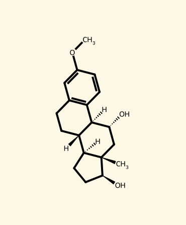 COc1ccc2c(c1)CC[C@@H]1[C@@H]2[C@H](O)C[C@]2(C)[C@@H](O)CC[C@@H]12